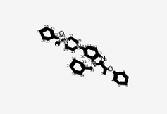 CC(Oc1ccccc1)c1nc2ccc(N3CCN(S(=O)(=O)c4ccccc4)CC3)cc2n1Cc1ccccc1